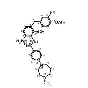 COc1ccc(Cc2ccc(N)c(NC(=O)c3ccc(N4CCCN(C)CC4)cc3)c2O)cc1F